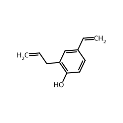 C=CCc1cc(C=C)ccc1O